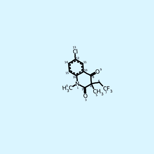 CN1C(=O)C(C)(CC(F)(F)F)C(=O)c2cc(Cl)ccc21